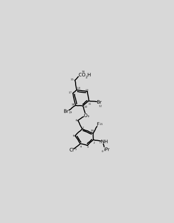 CC(C)Nc1cc(Cl)cc(COc2c(Br)cc(CC(=O)O)cc2Br)c1F